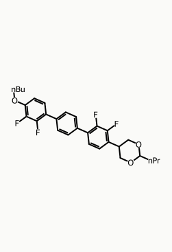 CCCCOc1ccc(-c2ccc(-c3ccc(C4COC(CCC)OC4)c(F)c3F)cc2)c(F)c1F